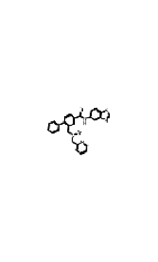 O=C(Nc1ccc2scnc2c1)c1ccc(-c2ccccc2)c(CN(Br)Cc2ccccn2)c1